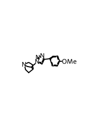 COc1ccc(-c2cn(C3CN4CCC3CC4)nn2)cc1